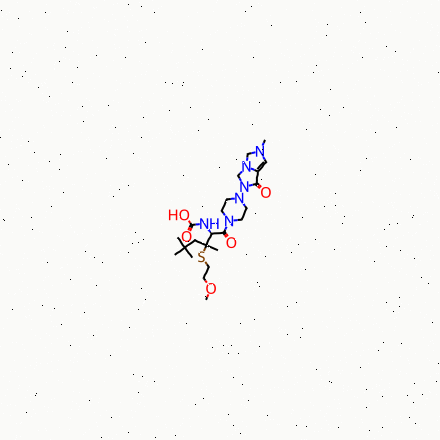 COCCSC(C)(CC(C)(C)C)[C@@H](NC(=O)O)C(=O)N1CCN(N2CN3CN(C)C=C3C2=O)CC1